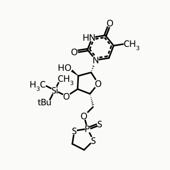 Cc1cn([C@@H]2O[C@H](COP3(=S)SCCS3)C(O[Si](C)(C)C(C)(C)C)[C@H]2O)c(=O)[nH]c1=O